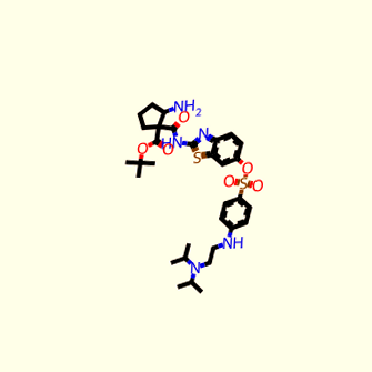 CC(C)N(CCNc1ccc(S(=O)(=O)Oc2ccc3nc(NC(=O)C4(C(=O)OC(C)(C)C)CCCC4N)sc3c2)cc1)C(C)C